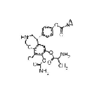 CC(N)C(=O)Oc1cc2c(c(Cl)c1OC(N)=O)CCNC[C@@H]2c1ccc(OC(=O)N2CC2)cc1